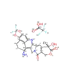 CC[C@@]1(O)C(=O)OCc2c1cc1n(c2=O)Cc2c-1nc1cc3c(c4c1c2[C@@H](N)CC4)OC(F)(F)O3.O=C(O)C(F)(F)F